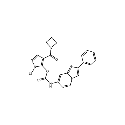 CCn1ncc(C(=O)N2CCC2)c1OC(=O)Nc1ccn2cc(-c3ccccc3)nc2c1